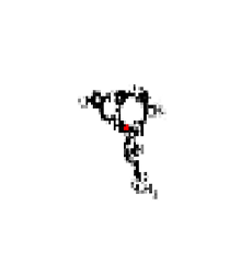 COC(=O)CCN1CCN2CCN(C[C@]3(O)CCC[C@H](C)[C@@H](C)S(=O)(=O)NC(=O)c4ccc5c(c4)N(CCCCc4cc(Cl)ccc4CO5)C[C@@H]4CC[C@H]43)C[C@@H]2C1